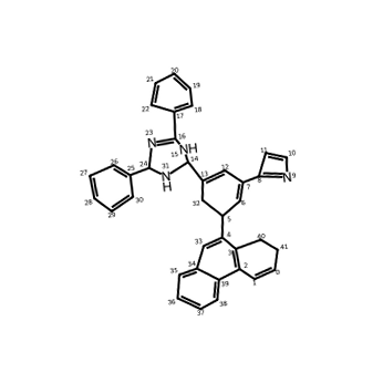 C1=Cc2c(c(C3C=C(C4=NC=C4)C=C(C4NC(c5ccccc5)=NC(c5ccccc5)N4)C3)cc3ccccc23)CC1